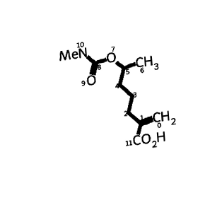 C=C(CCCC(C)OC(=O)NC)C(=O)O